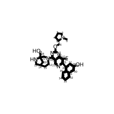 CN1CCC[C@H]1COc1nc(N2CCC3CNC(CO)(C3)C2)c2cnc(-c3cc(O)cc4ccccc34)c(F)c2n1